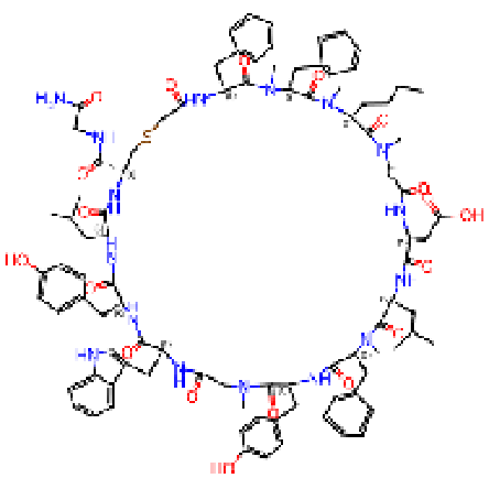 CCCC[C@H]1C(=O)N(C)CC(=O)N[C@@H](CC(=O)O)C(=O)N[C@@H](CC(C)C)C(=O)N(C)[C@@H](Cc2ccccc2)C(=O)N[C@@H](Cc2ccc(O)cc2)C(=O)N(C)CC(=O)N[C@@H](Cc2c[nH]c3ccccc23)C(=O)N[C@@H](Cc2ccc(O)cc2)C(=O)N[C@@H](CC(C)C)C(=O)N[C@H](C(=O)NCC(N)=O)CSCC(=O)N[C@@H](Cc2ccccc2)C(=O)N(C)[C@@H](Cc2ccccc2)C(=O)N1C